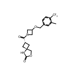 Cc1cc(COC2CN(C(=O)[C@H]3C[C@]4(COC(=O)N4)C3)C2)ccc1C(F)(F)F